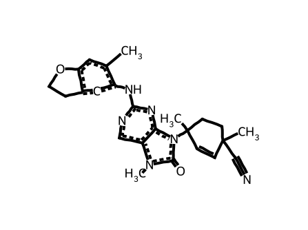 Cc1cc2c(cc1Nc1ncc3c(n1)n(C1(C)C=CC(C)(C#N)CC1)c(=O)n3C)CCO2